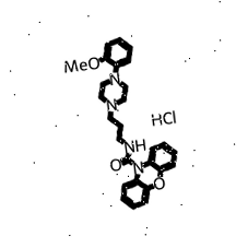 COc1ccccc1N1CCN(CCCNC(=O)N2c3ccccc3Oc3ccccc32)CC1.Cl